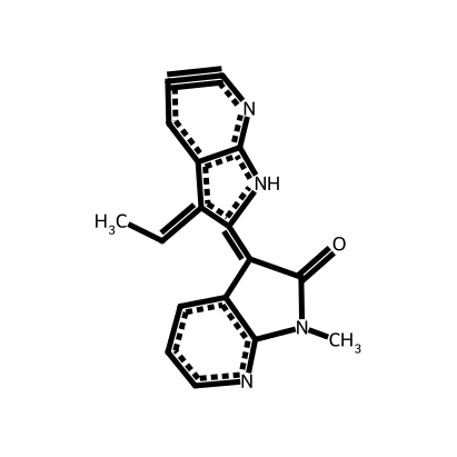 C/C=c1/c(=C2/C(=O)N(C)c3ncccc32)[nH]c2nc#ccc12